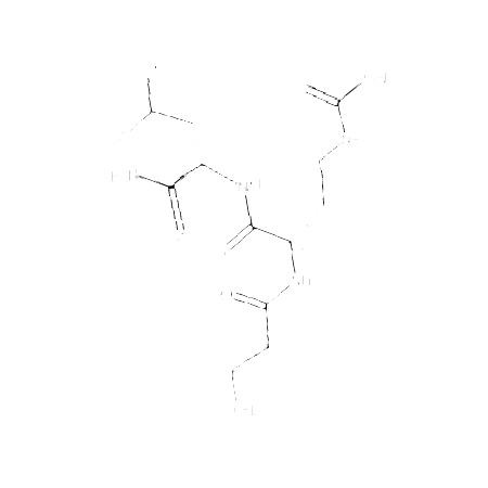 CCCC(=O)N[C@@H](CCNC(=O)O)C(=O)N[C@@H](CC(C)C)C(N)=O